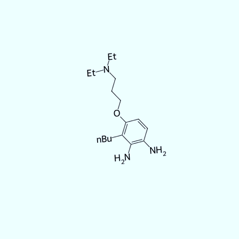 CCCCc1c(OCCCN(CC)CC)ccc(N)c1N